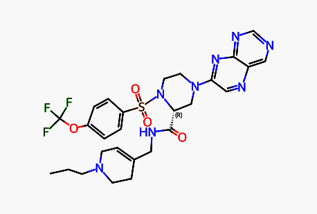 CCCN1CC=C(CNC(=O)[C@H]2CN(c3cnc4cncnc4n3)CCN2S(=O)(=O)c2ccc(OC(F)(F)F)cc2)CC1